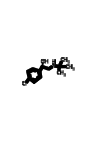 CC(C)(C)NC[C@@H](O)c1ccc(Cl)cc1